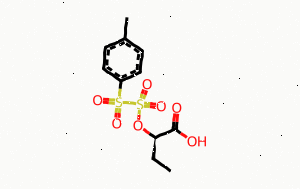 CC[C@@H](OS(=O)(=O)S(=O)(=O)c1ccc(C)cc1)C(=O)O